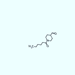 CCCCCC(=O)N1CCC(C=O)CC1